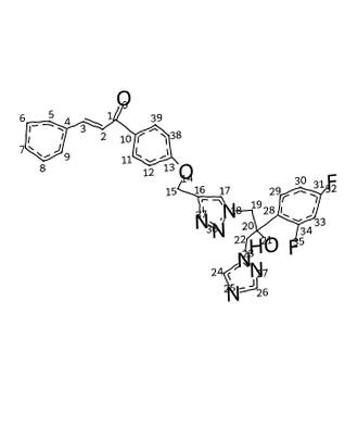 O=C(/C=C/c1ccccc1)c1ccc(OCc2cn(CC(O)(Cn3cncn3)c3ccc(F)cc3F)nn2)cc1